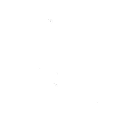 Cc1ncc(COC(=O)ON2CCc3ccccc3[C@H]2c2cc(Cl)ccc2OCC(=O)O)s1